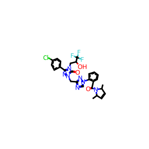 CC1C=CC(C)N1C(=O)c1ccccc1-n1cnc(Cn2nc(-c3ccc(Cl)cc3)n(CC(O)C(F)(F)F)c2=O)n1